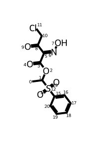 CC(OC(=O)C(=NO)C(=O)CCl)S(=O)(=O)c1ccccc1